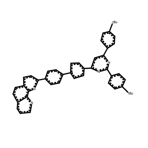 CC(C)(C)c1ccc(-c2cc(-c3ccc(-c4ccc(-c5ccc6ccc7cccnc7c6n5)cc4)cc3)nc(-c3ccc(C(C)(C)C)cc3)n2)cc1